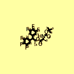 C[C@H](NC(=O)OC(C)(C)C)C(=O)O[C@@H](C)C(c1cc(F)c(F)c(F)c1)c1cc(F)c(F)c(F)c1